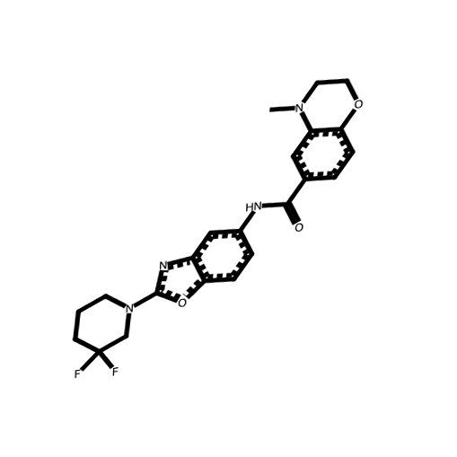 CN1CCOc2ccc(C(=O)Nc3ccc4oc(N5CCCC(F)(F)C5)nc4c3)cc21